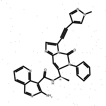 C[C@@H](NC(=O)c1c(N)ncc2cccnc12)c1cc2ncc(C#Cc3cnn(C)c3)n2c(=O)n1-c1ccccc1